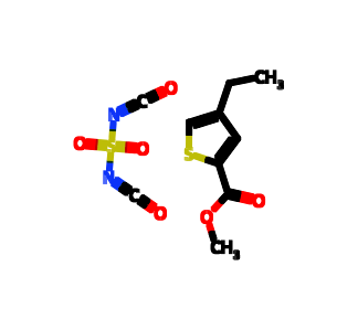 CCc1csc(C(=O)OC)c1.O=C=NS(=O)(=O)N=C=O